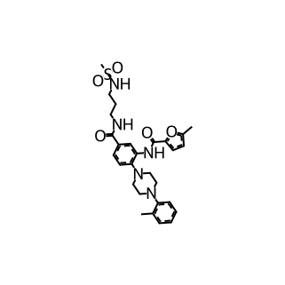 Cc1ccc(C(=O)Nc2cc(C(=O)NCCCNS(C)(=O)=O)ccc2N2CCN(c3ccccc3C)CC2)o1